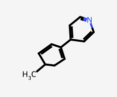 CC1C=CC(c2ccncc2)=CC1